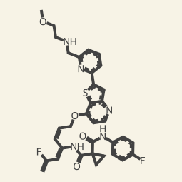 C=C(F)/C=C(\C=C/COc1ccnc2cc(-c3cccc(CNCCOC)n3)sc12)NC(=O)C1(C(=O)Nc2ccc(F)cc2)CC1